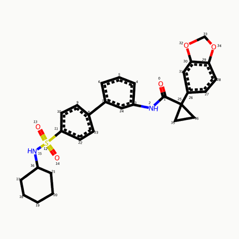 O=C(Nc1cccc(-c2ccc(S(=O)(=O)NC3CCCCC3)cc2)c1)C1(c2ccc3c(c2)OCO3)CC1